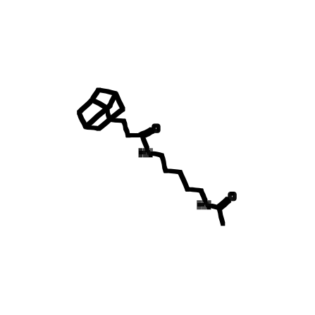 CC(=O)NCCCCCNC(=O)CCC12CC3CC(CC(C3)C1)C2